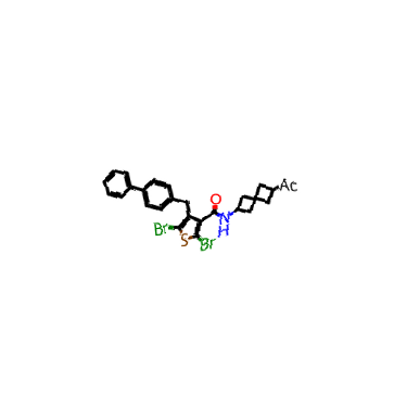 CC(=O)C1CC2(CC(NC(=O)c3c(Br)sc(Br)c3Cc3ccc(-c4ccccc4)cc3)C2)C1